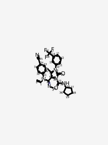 C=CN(/C(=N/C)c1c(C)n(-c2cccc(C(F)(F)F)c2)c(=O)n1C(=O)NC1CCCC1)c1ccc(C#N)cc1